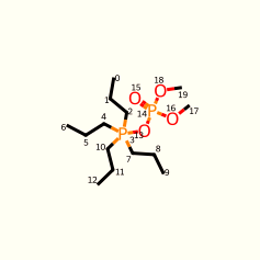 CCCP(CCC)(CCC)(CCC)OP(=O)(OC)OC